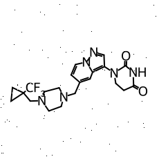 O=C1CCN(c2cnn3ccc(CN4CCN(CC5(C(F)(F)F)CC5)CC4)cc23)C(=O)N1